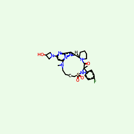 CN1CCCCS(=O)(=O)NC(C)(c2ccc(F)cc2)C(=O)N2CCCC[C@H]2c2cc3nc(N4CC(O)C4)cc1n3n2